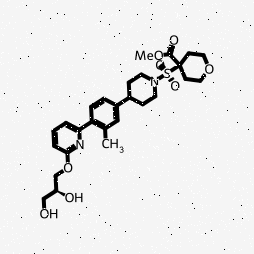 COC(=O)C1(S(=O)(=O)N2CCC(c3ccc(-c4cccc(OC[C@@H](O)CO)n4)c(C)c3)CC2)CCOCC1